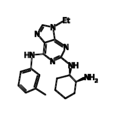 CCn1cnc2c(Nc3cccc(C)c3)nc(N[C@@H]3CCCC[C@@H]3N)nc21